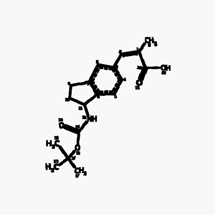 CC(=Cc1ccc2c(c1)CCC2NC(=O)OC(C)(C)C)C(=O)O